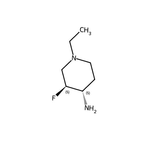 CCN1CC[C@H](N)[C@@H](F)C1